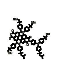 C=C(C)CC(C)(C)c1ccc(Oc2cc3c4c(cc(Oc5ccc(C(C)(C)CC(C)(C)C)cc5)c5c6c(Oc7ccc(C(C)(C)CC(C)(C)C)cc7)cc7c8c(cc(Oc9ccc(C(C)(C)CC(C)(C)C)cc9)c(c2c45)c86)C(=O)OC7=O)C(=O)N(c2ccc(N(c4ccc(C(C)(C)CC(=C)C)cc4)c4ccc(C(C)(C)CC(C)(C)C)cc4)cc2)C3=O)cc1